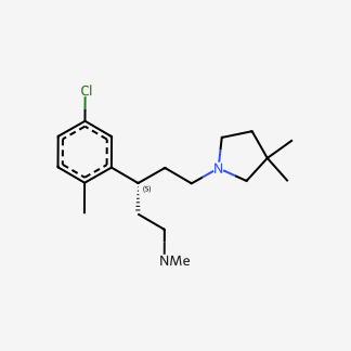 CNCC[C@@H](CCN1CCC(C)(C)C1)c1cc(Cl)ccc1C